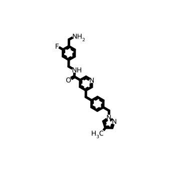 Cc1cnn(Cc2ccc(Cc3cncc(C(=O)NCc4ccc(CN)c(F)c4)c3)cc2)c1